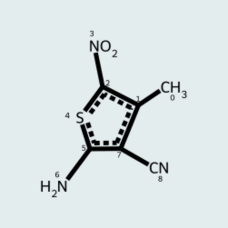 Cc1c([N+](=O)[O-])sc(N)c1C#N